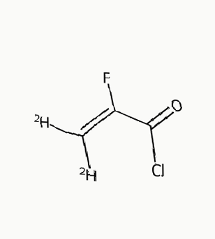 [2H]C([2H])=C(F)C(=O)Cl